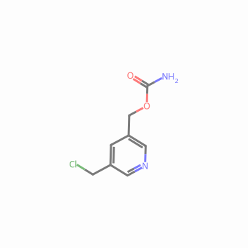 NC(=O)OCc1cncc(CCl)c1